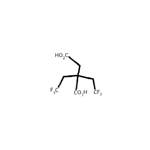 O=C(O)CC(CC(F)(F)F)(CC(F)(F)F)C(=O)O